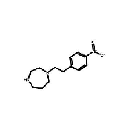 O=[N+]([O-])c1ccc(CCN2CCCNCC2)cc1